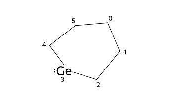 C1C[CH2][Ge][CH2]C1